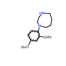 COc1ccc(N2CCCCNCC2)c(OC)c1